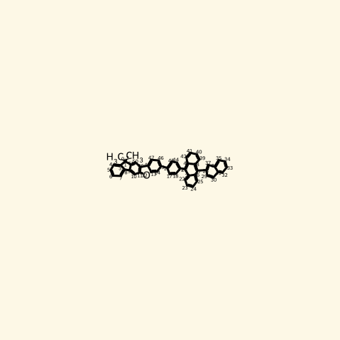 CC1(C)c2ccccc2-c2cc3oc4cc(-c5ccc(-c6c7ccccc7c(-c7ccc8ccccc8c7)c7ccccc67)cc5)ccc4c3cc21